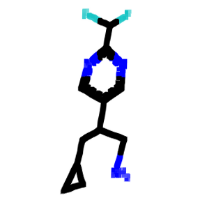 NCC(CC1CC1)c1cnc(C(F)F)nc1